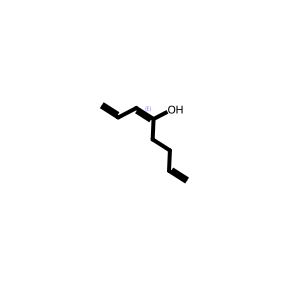 C=C/C=C(/O)CCC=C